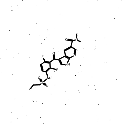 CCCS(=O)(=O)Nc1ccc(F)c(C(=O)c2c[nH]c3ncc(C(=O)N(C)C)cc23)c1F